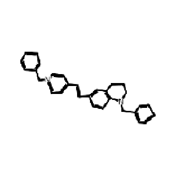 C(=Cc1ccc2c(c1)CCCN2Cc1ccccc1)c1cc[n+](Cc2ccccc2)cc1